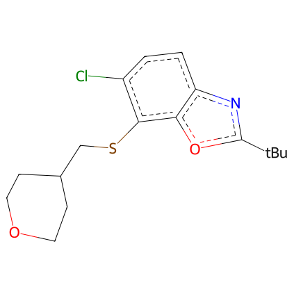 CC(C)(C)c1nc2ccc(Cl)c(SCC3CCOCC3)c2o1